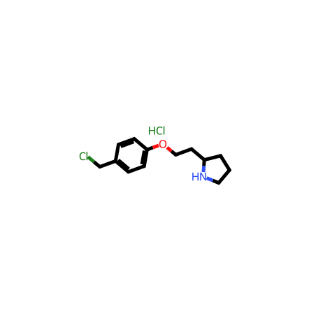 Cl.ClCc1ccc(OCCC2CCCN2)cc1